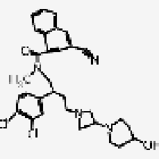 CN(C[C@@H](CCN1CC(N2CCC(O)CC2)C1)c1ccc(Cl)c(Cl)c1)C(=O)c1cc(C#N)cc2ccccc12